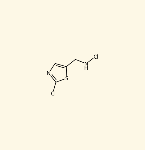 ClNCc1cnc(Cl)s1